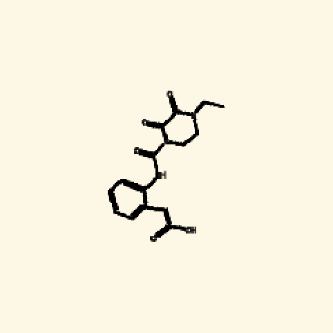 CCN1CCN(C(=O)Nc2ccccc2CC(=O)O)C(=O)C1=O